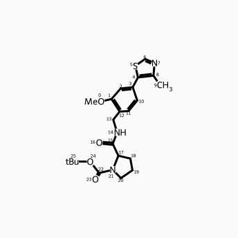 COc1cc(-c2scnc2C)ccc1CNC(=O)C1CCCN1C(=O)OC(C)(C)C